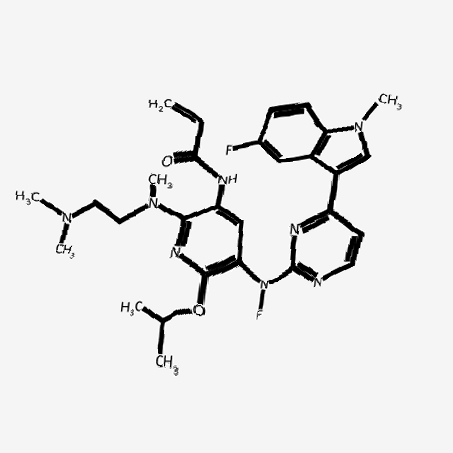 C=CC(=O)Nc1cc(N(F)c2nccc(-c3cn(C)c4ccc(F)cc34)n2)c(OC(C)C)nc1N(C)CCN(C)C